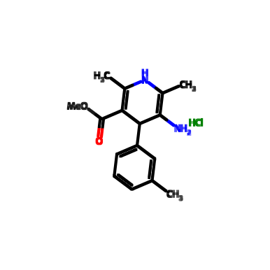 COC(=O)C1=C(C)NC(C)=C(N)C1c1cccc(C)c1.Cl